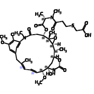 COc1cc2cc(c1Cl)N(C)C(=O)C[C@H](OC(=O)[C@H](C)N(C)C(=O)CCSCC(=O)O)[C@]1(C)O[C@H]1[C@H](C)[C@@H]1C[C@@](O)(NC(=O)O1)[C@H](OC)/C=C/C=C(\C)C2